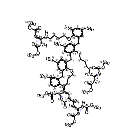 CCc1cc(C(C)(C)C)cc(Cc2cc(C(C)(C)C)cc(Cc3cc(C(C)(C)C)cc(Cc4cc(C(C)(C)C)ccc4OCCCCN/C(=N\C(=O)OC(C)(C)C)NC(=O)OC(C)(C)C)c3OCCCCN/C(=N\C(=O)OC(C)(C)C)NC(=O)OC(C)(C)C)c2OCCCCN/C(=N\C(=O)OC(C)(C)C)NC(=O)OC(C)(C)C)c1OCCCCN/C(=N\C(=O)OC(C)(C)C)NC(=O)OC(C)(C)C